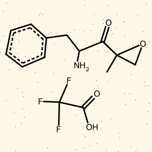 CC1(C(=O)C(N)Cc2ccccc2)CO1.O=C(O)C(F)(F)F